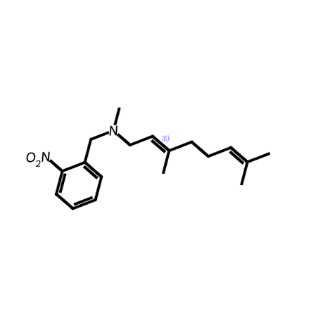 CC(C)=CCC/C(C)=C/CN(C)Cc1ccccc1[N+](=O)[O-]